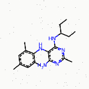 CCC(CC)Nc1nc(C)nc(N)c1Nc1c(C)cc(C)cc1C